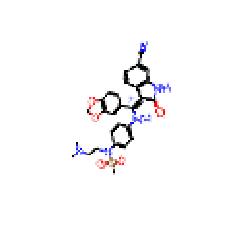 CN(C)CCN(c1ccc(N/C(=C2\C(=O)Nc3cc(C#N)ccc32)c2ccc3c(c2)OCO3)cc1)S(C)(=O)=O